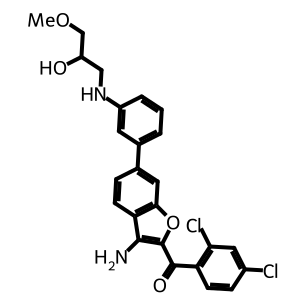 COCC(O)CNc1cccc(-c2ccc3c(N)c(C(=O)c4ccc(Cl)cc4Cl)oc3c2)c1